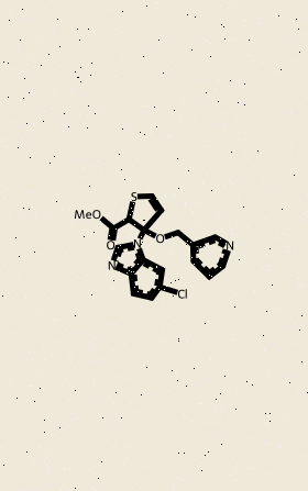 COC(=O)C1SC=CC1(OCc1cccnc1)n1cnc2ccc(Cl)cc21